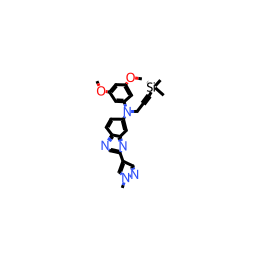 COc1cc(OC)cc(N(CC#C[Si](C)(C)C)c2ccc3ncc(-c4cnn(C)c4)nc3c2)c1